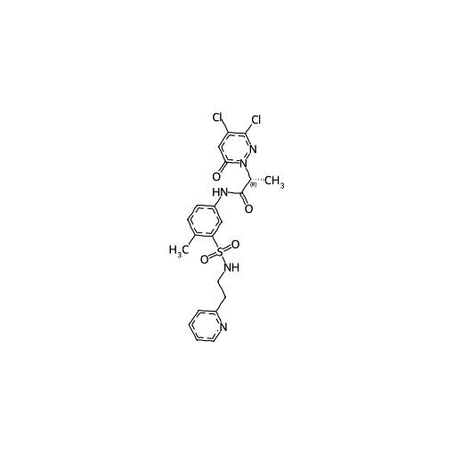 Cc1ccc(NC(=O)[C@@H](C)n2nc(Cl)c(Cl)cc2=O)cc1S(=O)(=O)NCCc1ccccn1